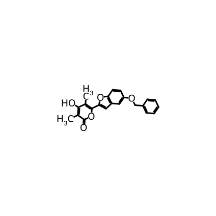 Cc1c(-c2cc3cc(OCc4ccccc4)ccc3o2)oc(=O)c(C)c1O